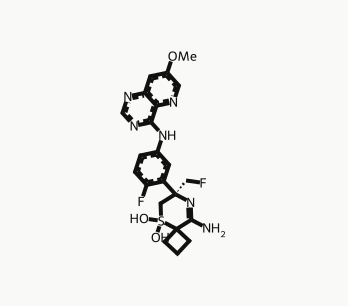 COc1cnc2c(Nc3ccc(F)c([C@]4(CF)CS(O)(O)C5(CCC5)C(N)=N4)c3)ncnc2c1